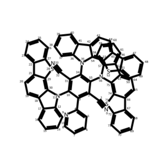 N#Cc1c(-c2ccccn2)c(-n2c3ccccc3c3ccc4c5ccccc5sc4c32)c(C#N)c(-n2c3ccccc3c3ccc4c5ccccc5sc4c32)c1-n1c2ccccc2c2ccc3c4ccccc4sc3c21